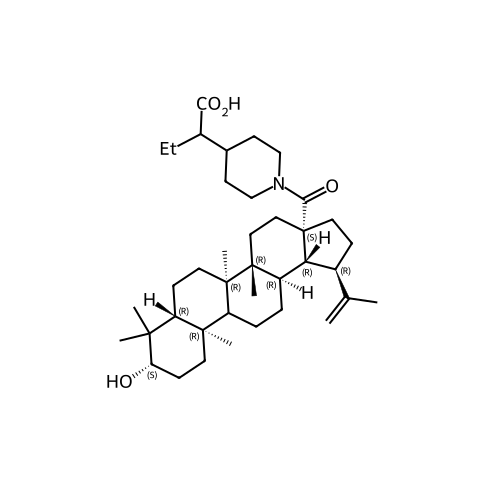 C=C(C)[C@@H]1CC[C@]2(C(=O)N3CCC(C(CC)C(=O)O)CC3)CC[C@]3(C)[C@H](CCC4[C@@]5(C)CC[C@H](O)C(C)(C)[C@@H]5CC[C@]43C)[C@@H]12